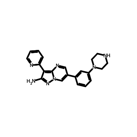 Nc1nn2cc(-c3cccc(N4CCNCC4)c3)cnc2c1-c1ccccn1